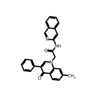 Cc1ccc2c(=O)c(-c3ccccc3)cn(CC(=O)Nc3cc4ccccc4cn3)c2c1